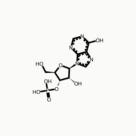 O=P(O)(O)O[C@H]1[C@@H](O)[C@H](n2cnc3c(O)ncnc32)O[C@@H]1CO